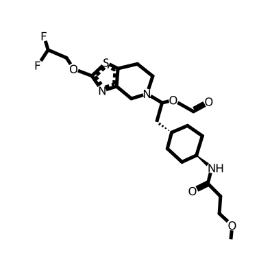 COCCC(=O)N[C@H]1CC[C@H](CC(OC=O)N2CCc3sc(OCC(F)F)nc3C2)CC1